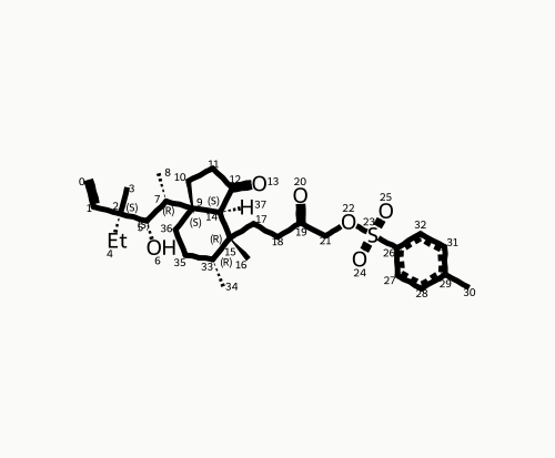 C=C[C@](C)(CC)[C@@H](O)[C@H](C)[C@]12CCC(=O)[C@H]1[C@](C)(CCC(=O)COS(=O)(=O)c1ccc(C)cc1)[C@H](C)CC2